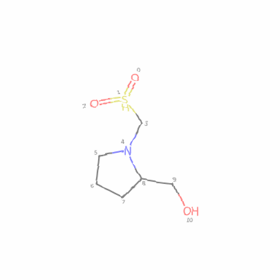 O=[SH](=O)CN1CCCC1CO